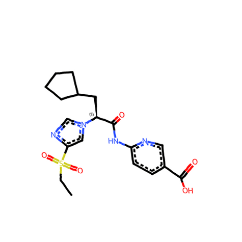 CCS(=O)(=O)c1cn([C@@H](CC2CCCC2)C(=O)Nc2ccc(C(=O)O)cn2)cn1